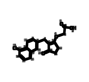 O=C(O)COC1=C(Cc2ccc3c(Cl)cccc3c2)C(=O)CC1